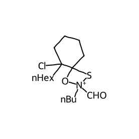 CCCCCCC1(Cl)CCCCC12O[N+](C=O)(CCCC)S2